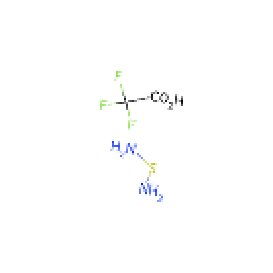 NSN.O=C(O)C(F)(F)F